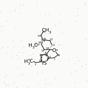 CCc1cc2c(s1)CCO[C@@]21CCN(CC)[C@@H](C)C1